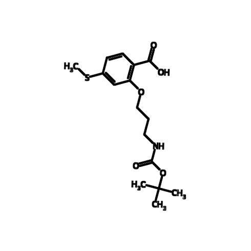 CSc1ccc(C(=O)O)c(OCCCNC(=O)OC(C)(C)C)c1